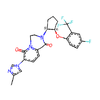 Cc1cn(-c2ccc3n(c2=O)CCN([C@H]2CCC[C@H]2Oc2ccc(F)cc2C(F)(F)F)C3=O)cn1